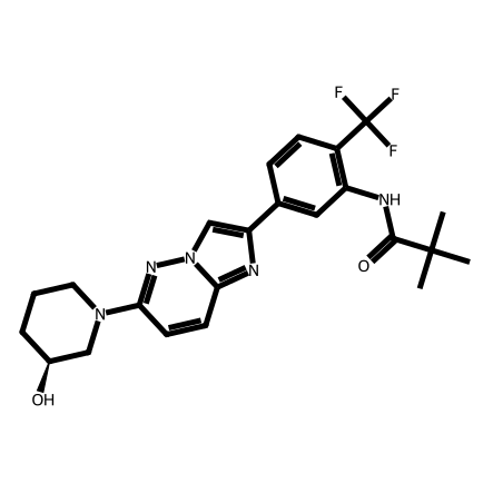 CC(C)(C)C(=O)Nc1cc(-c2cn3nc(N4CCC[C@H](O)C4)ccc3n2)ccc1C(F)(F)F